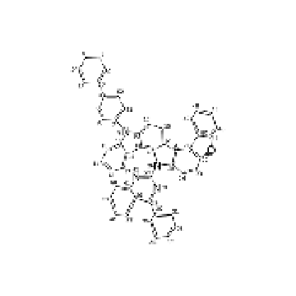 c1ccc(-c2ccc(-n3c4ccccc4c4c3ccc3c5c6c(ccc5n(-c5nc(-c7ccccc7)c7ccccc7n5)c34)oc3ccccc36)cc2)cc1